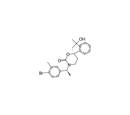 Cc1cc([C@H](C)N2CC[C@](CC(C)(C)O)(c3ccccc3)OC2=O)ccc1Br